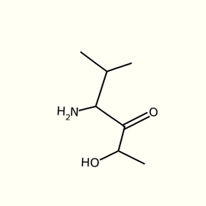 CC(O)C(=O)C(N)C(C)C